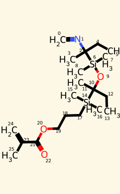 C=NC(C)(CC)[Si](C)(C)OC(C)(CC)[Si](C)(C)CCCOC(=O)C(=C)C